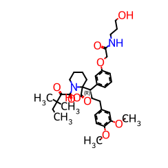 CCC(C)(C)C(=O)C(=O)N1CCCCC1(C(=O)O)[C@H](CCc1ccc(OC)c(OC)c1)c1cccc(OCC(=O)NCCCO)c1